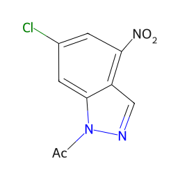 CC(=O)n1ncc2c([N+](=O)[O-])cc(Cl)cc21